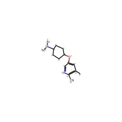 [2H]N(C(C)=O)C1CCC(Oc2cnc(C#N)c(C)c2)CC1